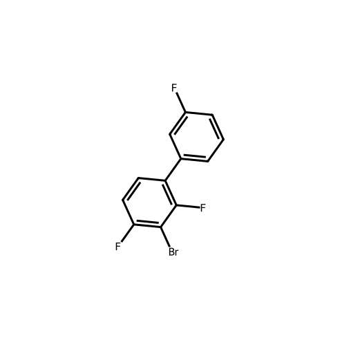 Fc1cccc(-c2ccc(F)c(Br)c2F)c1